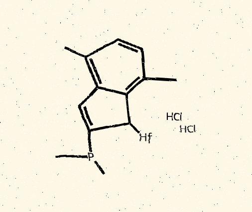 Cc1ccc(C)c2c1C=C(P(C)C)[CH]2[Hf].Cl.Cl